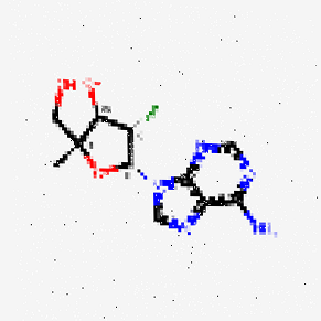 C[C@]1(CO)O[C@@H](n2cnc3c(N)ncnc32)[C@@H](F)[C@@H]1O